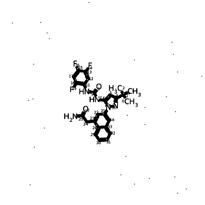 CC(C)(C)c1cc(NC(=O)Nc2cc(F)c(F)cc2F)n(-c2cc(CC(N)=O)c3ccccc3c2)n1